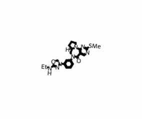 CCNC1=NN(c2cccc(N3C[C@@H]4CCCN4c4nc(SC)ncc4C3=O)c2)CO1